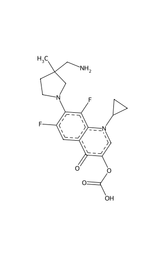 CC1(CN)CCN(c2c(F)cc3c(=O)c(OC(=O)O)cn(C4CC4)c3c2F)C1